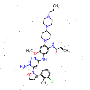 C=CC(=O)Nc1cc(NC(=N)/C=C(\NN)N2OCC[C@@H]2c2cccc(Cl)c2C)c(OC)cc1N1CCC(N2CCN(CCC)CC2)CC1